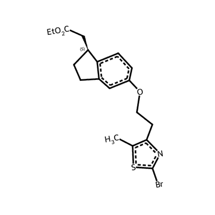 CCOC(=O)C[C@@H]1CCc2cc(OCCc3nc(Br)sc3C)ccc21